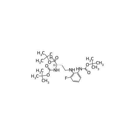 CC(C)(C)OC(=O)Nc1cccc(F)c1NCC[C@H](NC(=O)OC(C)(C)C)C(=O)OC(C)(C)C